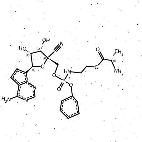 C[C@H](N)C(=O)OCCNP(=O)(OC[C@@]1(C#N)O[C@@H](c2ccc3c(N)ncnn23)[C@H](O)[C@@H]1O)Oc1ccccc1